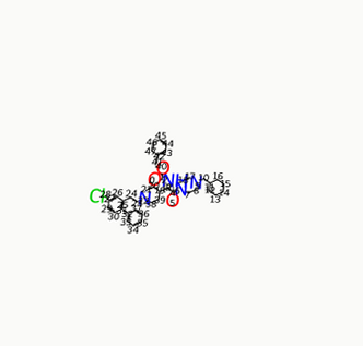 O=C(N[C@@H](C(=O)N1CCN(CC2CCCCC2)CC1)C1CCN(CCc2cc(Cl)ccc2-c2ccccc2)CC1)OCc1ccccc1